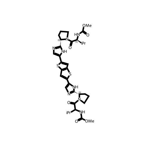 COC(=O)NC(C(=O)N1CCC[C@H]1c1ncc(-c2cc3sc(-c4cnc([C@@H]5CCCN5C(=O)[C@@H](NC(=O)OC)C(C)C)[nH]4)cc3s2)[nH]1)C(C)C